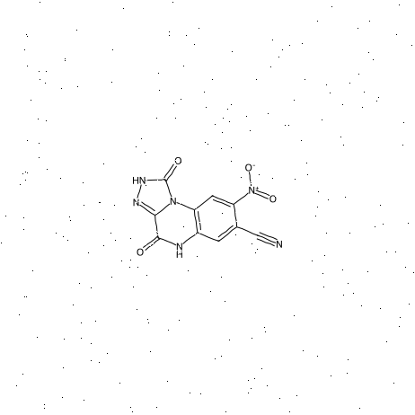 N#Cc1cc2[nH]c(=O)c3n[nH]c(=O)n3c2cc1[N+](=O)[O-]